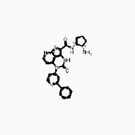 N[C@H]1CCC[C@H]1NC(=O)c1sc2nccc3c2c1NC(=O)N3c1ccnc(-c2ccccc2)c1